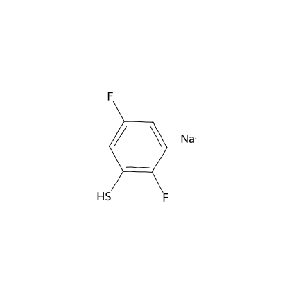 Fc1ccc(F)c(S)c1.[Na]